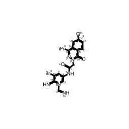 CC(C)c1nn(CC(=O)Nc2cc(Br)c(=N)n(C=N)c2)c(=O)c2ccc(C(F)(F)F)cc12